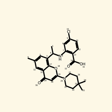 Cc1cc(C(C)Nc2cc(Cl)ccc2C(=O)O)c2oc(N3CCC(C)(C)CC3)cc(=O)c2c1